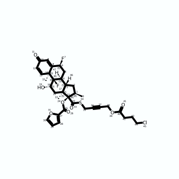 C[C@@H]1C[C@H]2[C@@H]3C[C@H](F)C4=CC(=O)C=C[C@]4(C)[C@@]3(F)[C@@H](O)C[C@]2(C)[C@@]1(OC(=O)c1ccco1)C(=O)SCC#CCOC(=O)CCCCl